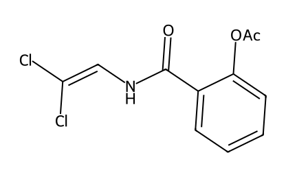 CC(=O)Oc1ccccc1C(=O)NC=C(Cl)Cl